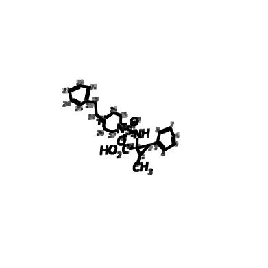 CC1[C@H](c2ccccc2)[C@]1(NS(=O)(=O)N1CCN(CCc2ccccc2)CC1)C(=O)O